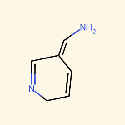 NC=C1C=CCN=C1